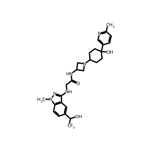 Cc1ccc(C2(O)CCC(N3CC(NC(=O)CNc4nn(C)c5ccc(C(O)C(F)(F)F)cc45)C3)CC2)cn1